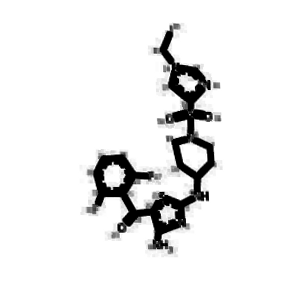 Nc1nc(NC2CCN(S(=O)(=O)c3cn(CI)cn3)CC2)sc1C(=O)c1c(F)cccc1F